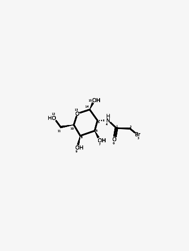 O=C(CBr)N[C@@H]1[C@@H](O)[C@@H](O)[C@@H](CO)O[C@H]1O